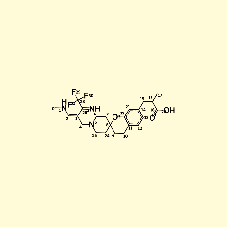 CN/C=C(/CN1CCC2(CCc3ccc(CC(C)C(=O)O)cc3O2)CC1)C(=N)C(F)(F)F